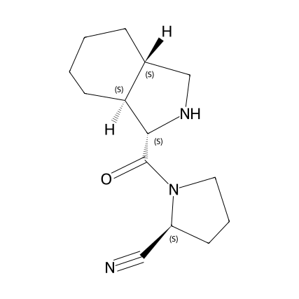 N#C[C@@H]1CCCN1C(=O)[C@H]1NC[C@H]2CCCC[C@@H]21